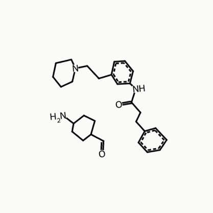 NC1CCC(C=O)CC1.O=C(CCc1ccccc1)Nc1cccc(CCN2CCCCC2)c1